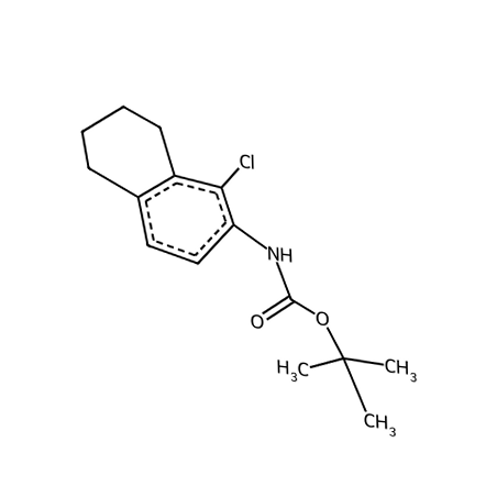 CC(C)(C)OC(=O)Nc1ccc2c(c1Cl)CCCC2